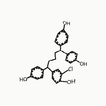 Oc1ccc(C(CCCC(c2ccc(O)cc2)c2ccc(O)c(Cl)c2)c2ccc(O)cc2)cc1